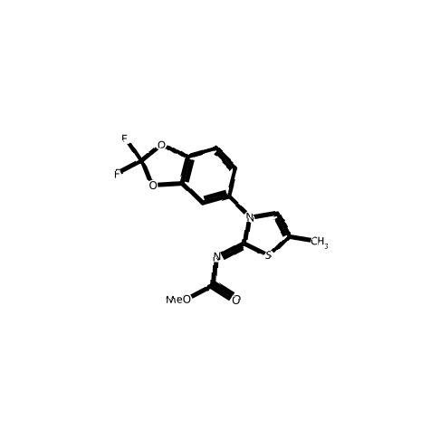 COC(=O)/N=c1\sc(C)cn1-c1ccc2c(c1)OC(F)(F)O2